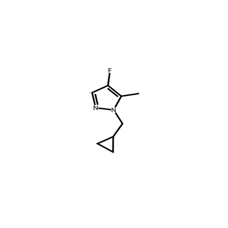 Cc1c(F)[c]nn1CC1CC1